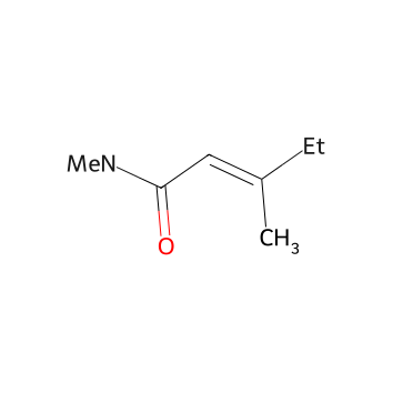 CC/C(C)=C/C(=O)NC